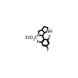 CCOC(=O)N1CC2CCNC2C1c1c(F)cc(F)cc1F